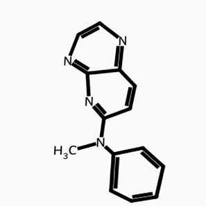 CN(c1ccccc1)c1ccc2nccnc2n1